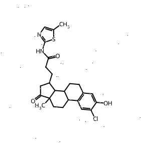 Cc1cnc(NC(=O)CCC2CC(=O)C3(C)CCC4c5cc(Cl)c(O)cc5CCC4C23)s1